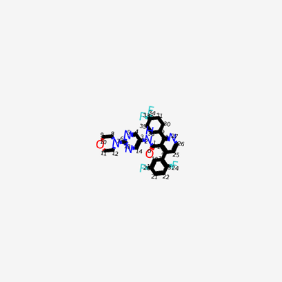 O=C(Nc1cnc(N2CCOCC2)nc1)c1c(-c2cc(F)ccc2F)ccnc1C1CCC(F)(F)CC1